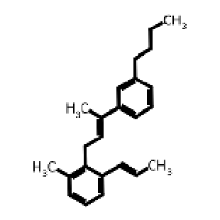 C/C=C/c1cccc(C)c1C/C=C(\C)c1cccc(CCCC)c1